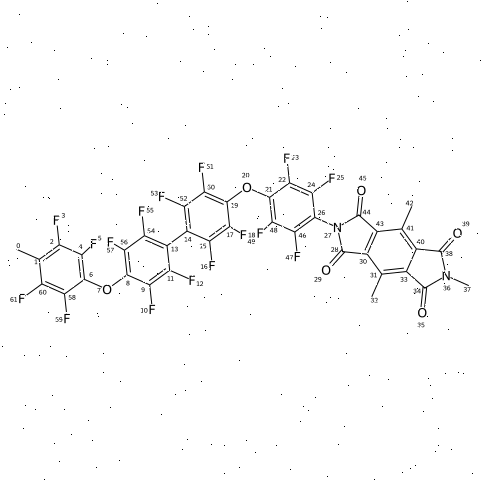 Cc1c(F)c(F)c(Oc2c(F)c(F)c(-c3c(F)c(F)c(Oc4c(F)c(F)c(-n5c(=O)c6c(C)c7c(=O)n(C)c(=O)c7c(C)c6c5=O)c(F)c4F)c(F)c3F)c(F)c2F)c(F)c1F